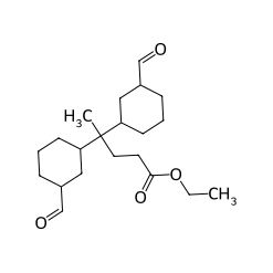 CCOC(=O)CCC(C)(C1CCCC(C=O)C1)C1CCCC(C=O)C1